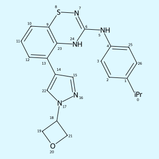 CC(C)c1ccc(NC2=NSc3cccc(-c4cnn(C5COC5)c4)c3N2)cc1